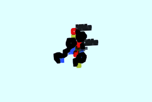 CNC(=O)c1ccccc1Sc1ccc2c(/C=C/c3ccccn3)nn(P(=O)(N[C@@H](C)C(=O)OC)Oc3cccc4sccc34)c2c1